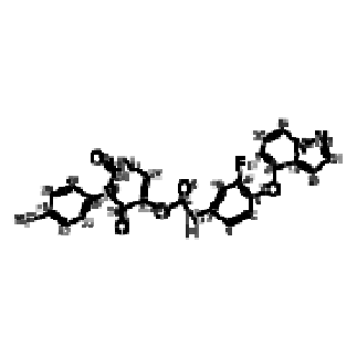 O=C(Nc1ccc(Oc2cccn3nccc23)c(F)c1)Oc1c[nH]c(=O)n(-c2ccc(F)cc2)c1=O